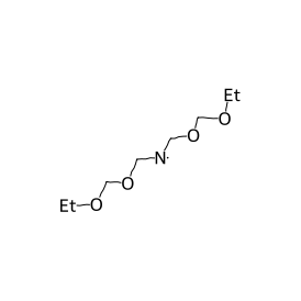 CCOCOC[N]COCOCC